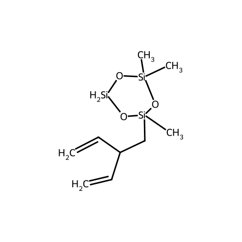 C=CC(C=C)C[Si]1(C)O[SiH2]O[Si](C)(C)O1